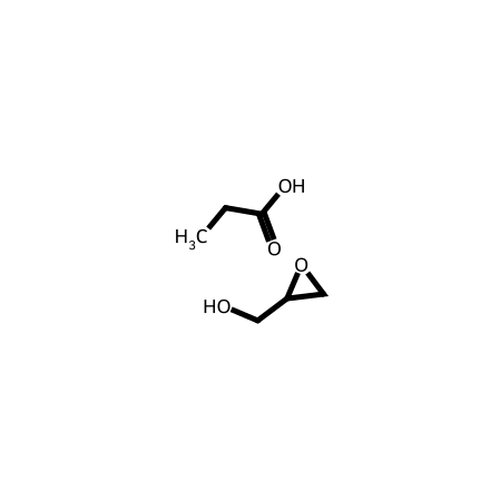 CCC(=O)O.OCC1CO1